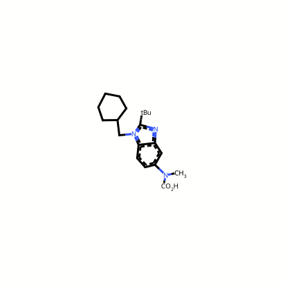 CN(C(=O)O)c1ccc2c(c1)nc(C(C)(C)C)n2CC1CCCCC1